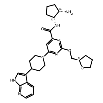 N[C@H]1CCC[C@H]1NC(=O)c1cc(N2CCC(c3c[nH]c4ncccc34)CC2)nc(OC[C@H]2CCCO2)n1